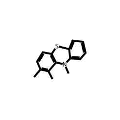 Cc1ccc2c(c1C)N(C)c1ccccc1S2